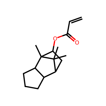 C=CC(=O)OC1CC2C3CCCC3C1(C)C2(C)C